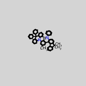 Cc1cc2c3c(c1)N1c4ccccc4C(c4ccccc4)(c4ccccc4)c4cccc(c41)B3N(c1ccccc1)c1ccc3c(c1-2)-c1ccccc1C3(C)C